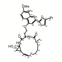 COc1ccc2c(OCCC3NC(=O)N(C)CCCC/C=C\C4CC4(C(=O)O)NC3=O)cc(-c3nc(C(C)C)cs3)nc2c1C